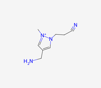 C[n+]1cc(CN)cn1CCC#N